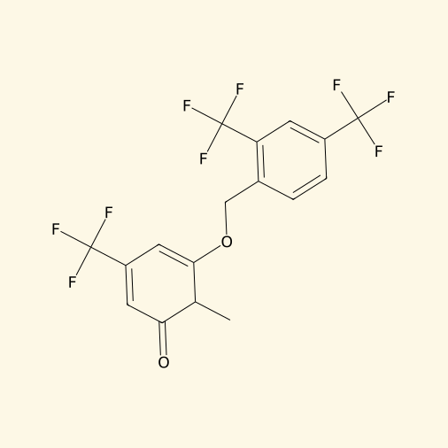 CC1C(=O)C=C(C(F)(F)F)C=C1OCc1ccc(C(F)(F)F)cc1C(F)(F)F